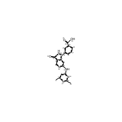 Cc1cc(Nc2cc3c(cn2)c(=O)[nH]n3-c2cccc(C(=O)O)c2)nc(C)n1